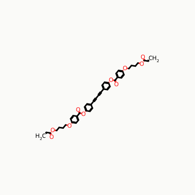 C=CC(=O)OCCCCOc1ccc(C(=O)Oc2ccc(C#CC#Cc3ccc(OC(=O)c4ccc(OCCCCOC(=O)C=C)cc4)cc3)cc2)cc1